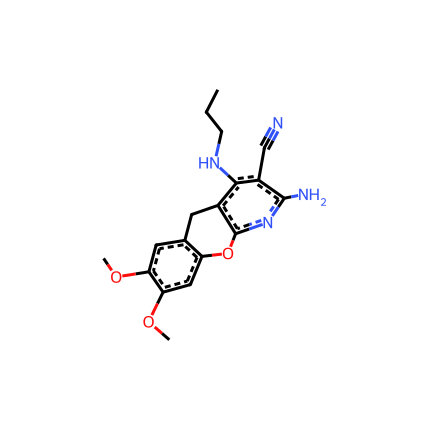 CCCNc1c(C#N)c(N)nc2c1Cc1cc(OC)c(OC)cc1O2